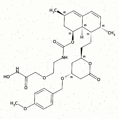 COc1ccc(CO[C@H]2CC(=O)O[C@H](CC[C@@H]3[C@@H]4C(=C[C@H](C)C[C@@H]4OC(=O)NCCOCC(=O)NO)C=C[C@@H]3C)C2)cc1